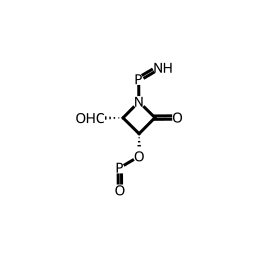 N=PN1C(=O)[C@H](OP=O)[C@@H]1C=O